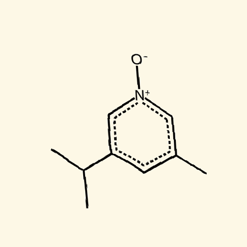 Cc1cc(C(C)C)c[n+]([O-])c1